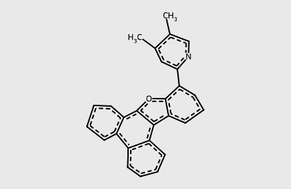 Cc1cnc(-c2cccc3c2oc2c4ccccc4c4ccccc4c32)cc1C